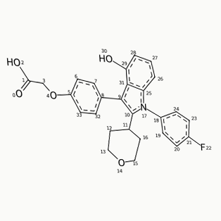 O=C(O)COc1ccc(-c2c(C3CCOCC3)n(-c3ccc(F)cc3)c3cccc(O)c23)cc1